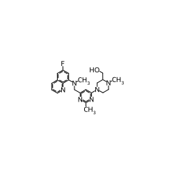 Cc1nc(CN(C)c2cc(F)cc3cccnc23)cc(N2CCN(C)C(CO)C2)n1